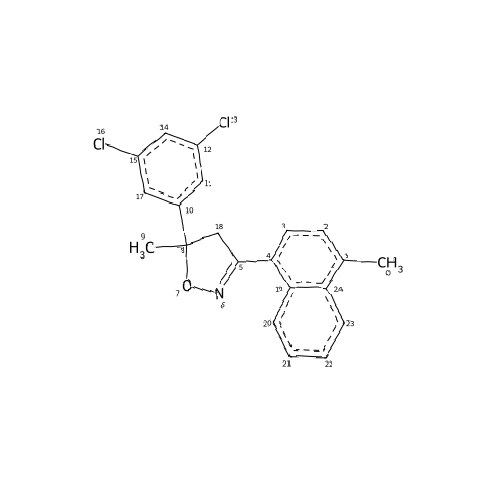 Cc1ccc(C2=NOC(C)(c3cc(Cl)cc(Cl)c3)C2)c2ccccc12